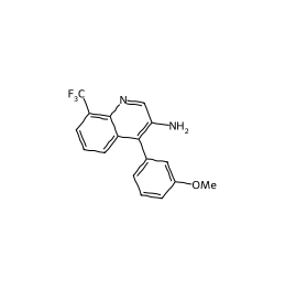 COc1cccc(-c2c(N)cnc3c(C(F)(F)F)cccc23)c1